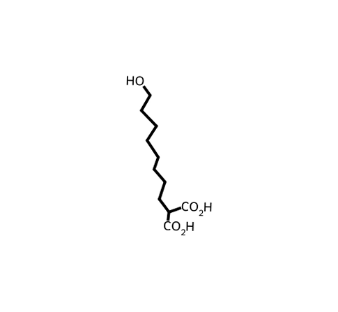 O=C(O)C(CCCCCCCCO)C(=O)O